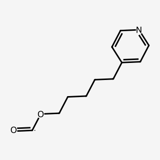 O=[C]OCCCCCc1ccncc1